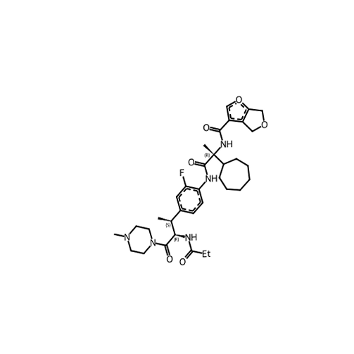 CCC(=O)N[C@@H](C(=O)N1CCN(C)CC1)[C@@H](C)c1ccc(NC(=O)[C@](C)(NC(=O)c2coc3c2COC3)C2CCCCCC2)c(F)c1